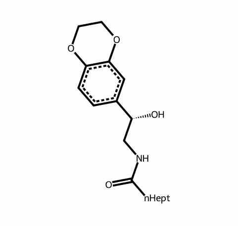 CCCCCCCC(=O)NC[C@@H](O)c1ccc2c(c1)OCCO2